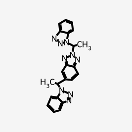 CC(c1ccc2nn(C(C)n3nnc4ccccc43)nc2c1)n1nnc2ccccc21